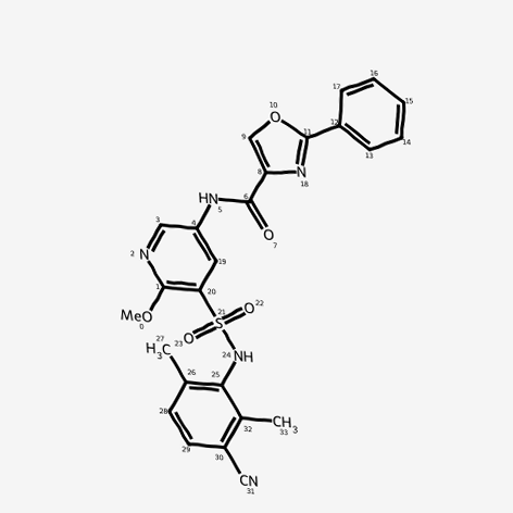 COc1ncc(NC(=O)c2coc(-c3ccccc3)n2)cc1S(=O)(=O)Nc1c(C)ccc(C#N)c1C